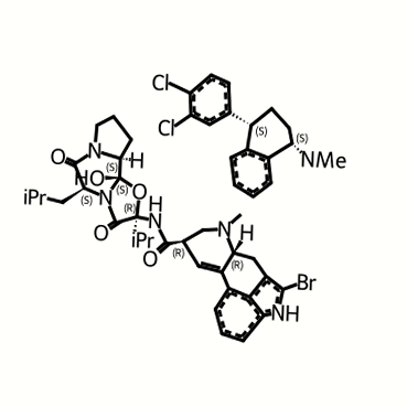 CC(C)C[C@H]1C(=O)N2CCC[C@H]2[C@]2(O)O[C@](NC(=O)[C@@H]3C=C4c5cccc6[nH]c(Br)c(c56)C[C@H]4N(C)C3)(C(C)C)C(=O)N12.CN[C@H]1CC[C@@H](c2ccc(Cl)c(Cl)c2)c2ccccc21